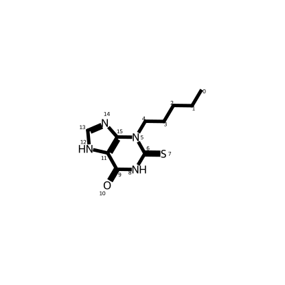 CCCCCn1c(=S)[nH]c(=O)c2[nH]cnc21